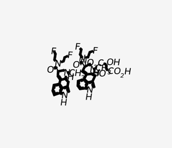 CN1C[C@H](C(=O)N(CCF)CCF)C=C2c3cccc4[nH]cc(c34)C[C@H]21.CN1C[C@H](C(=O)N(CCF)CCF)C=C2c3cccc4[nH]cc(c34)C[C@H]21.O=C(O)C(O)C(O)C(=O)O